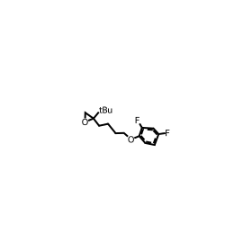 CC(C)(C)C1(CCCCOc2ccc(F)cc2F)CO1